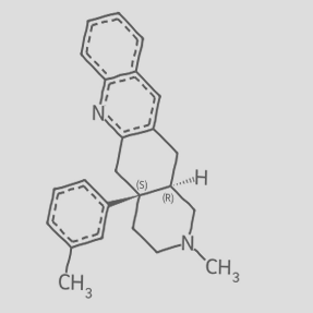 Cc1cccc([C@]23CCN(C)C[C@@H]2Cc2cc4ccccc4nc2C3)c1